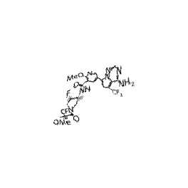 COc1ncc(-c2cc(C(F)(F)F)c3c(N)ncnn23)cc1C(=O)N[C@@H]1CN(C(=O)[C@@](C)(OC)C(F)(F)F)C[C@@H]1F